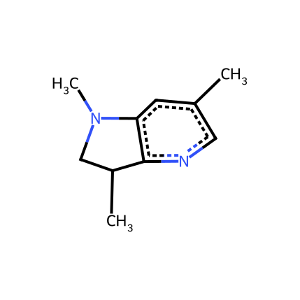 Cc1cnc2c(c1)N(C)CC2C